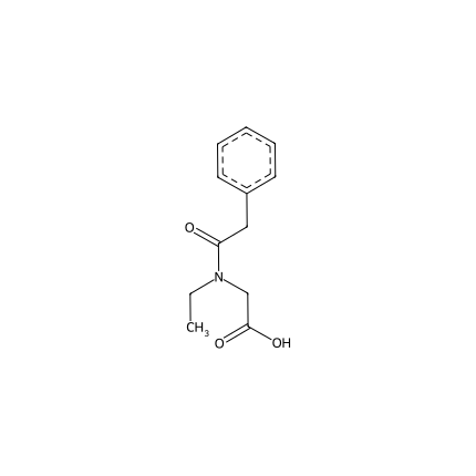 CCN(CC(=O)O)C(=O)Cc1ccccc1